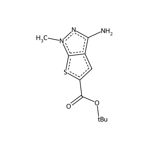 Cn1nc(N)c2cc(C(=O)OC(C)(C)C)sc21